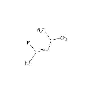 CC(/C=C(\F)C(F)(F)F)C(F)(F)F